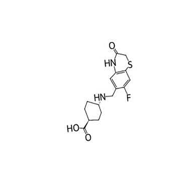 O=C1CSc2cc(F)c(CN[C@H]3CC[C@H](C(=O)O)CC3)cc2N1